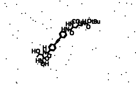 C[C@@H](O)[C@H](NC(=O)c1ccc(C#Cc2ccc(NC(=O)C(CCCNC(=O)OC(C)(C)C)NC(=O)O)cc2)cc1)C(=O)NO